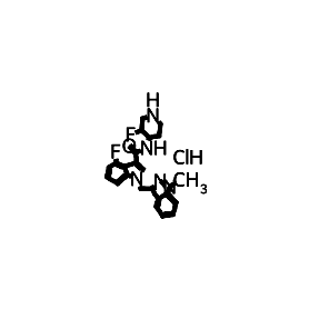 Cl.Cn1nc(Cn2cc(C(=O)NC3CCNCC3F)c3c(F)cccc32)c2ccccc21